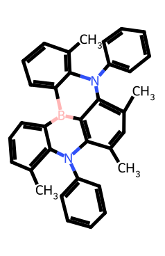 Cc1cccc2c1N(c1ccccc1)c1c(C)cc(C)c3c1B2c1cccc(C)c1N3c1ccccc1